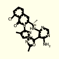 Cc1nnc(-c2c(N)ncnc2N[C@@H](C)c2cc3cccc(Cl)c3c(=O)n2-c2n[nH]cc2C)o1